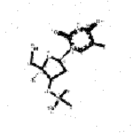 Cc1cn([C@H]2CC(O[Si](C)(C)C(C)(C)C)[C@@](C)(CO)O2)c(=O)[nH]c1=O